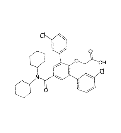 O=C(O)COc1c(-c2cccc(Cl)c2)cc(C(=O)N(C2CCCCC2)C2CCCCC2)cc1-c1cccc(Cl)c1